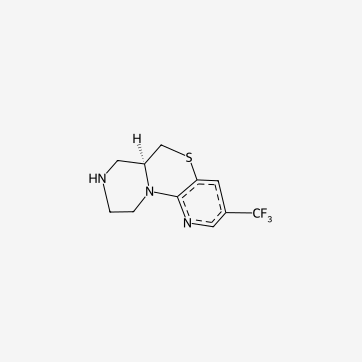 FC(F)(F)c1cnc2c(c1)SC[C@@H]1CNCCN21